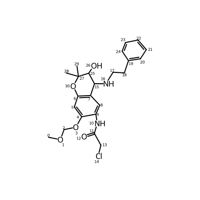 COCOc1cc2c(cc1NC(=O)CCl)C(NCCc1ccccc1)C(O)C(C)(C)O2